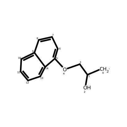 [CH2]C(O)COc1cccc2ccccc12